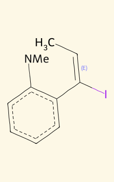 C/C=C(/I)c1ccccc1NC